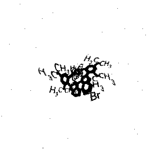 CC(C)c1cc(C(C)C)c(-c2cc3ccccc3c3c2OP(=O)(Cl)Oc2c(-c4c(C(C)C)cc(C(C)C)cc4C(C)C)cc4cc(Br)ccc4c2-3)c(C(C)C)c1